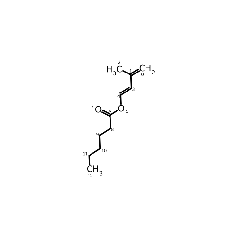 C=C(C)C=COC(=O)CCCCC